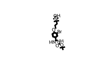 CC(C)(C)OC(=O)NC(=N)c1ccc(OCCCC(C)(C)[Si](C)(C)O)c(Br)c1